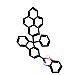 c1ccc(C2(c3cc4ccc5cccc6ccc(c3)c4c56)c3ccccc3-c3ccc(-c4nc5ccccc5o4)cc32)cc1